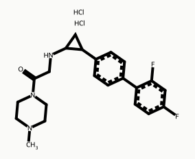 CN1CCN(C(=O)CNC2CC2c2ccc(-c3ccc(F)cc3F)cc2)CC1.Cl.Cl